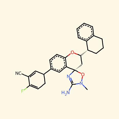 CN1O[C@@]2(CC([C@H]3CCCc4ccccc43)Oc3ccc(C4C=C(C#N)C(F)=CC4)cc32)N=C1N